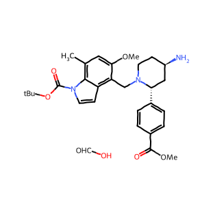 COC(=O)c1ccc([C@H]2C[C@H](N)CCN2Cc2c(OC)cc(C)c3c2ccn3C(=O)OC(C)(C)C)cc1.O=CO